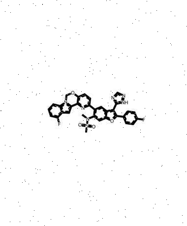 CN(c1cc2oc(-c3ccc(F)cc3)c(-c3ncn[nH]3)c2cc1-c1ccc2c(n1)-c1cc3c(F)cccc3n1CO2)S(C)(=O)=O